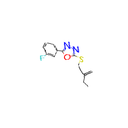 C=C(CC)CSc1nnc(-c2cccc(F)c2)o1